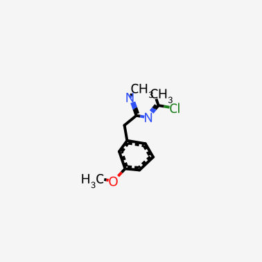 C/N=C(Cc1cccc(OC)c1)\N=C(/C)Cl